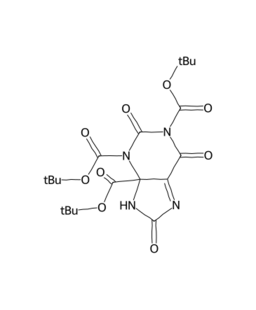 CC(C)(C)OC(=O)N1C(=O)C2=NC(=O)NC2(C(=O)OC(C)(C)C)N(C(=O)OC(C)(C)C)C1=O